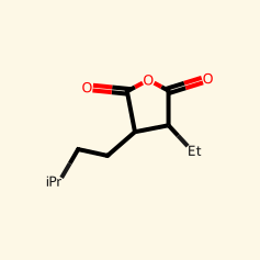 CCC1C(=O)OC(=O)C1CCC(C)C